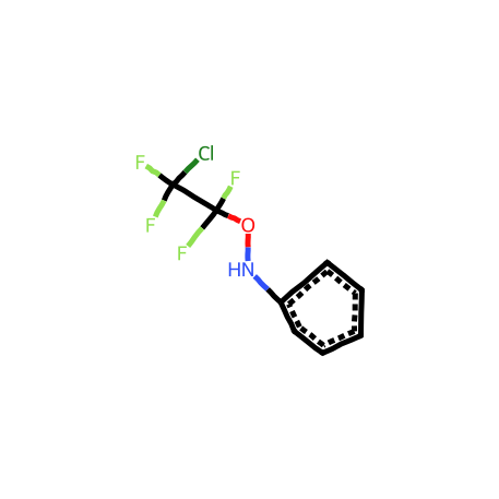 FC(F)(Cl)C(F)(F)ONc1ccccc1